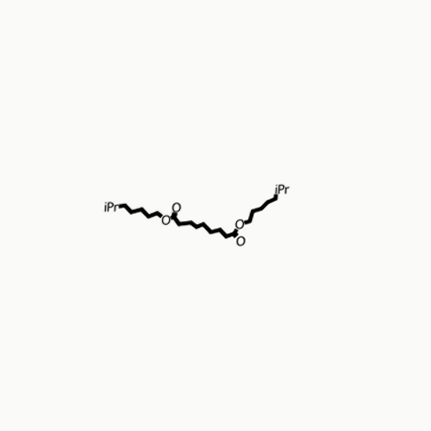 CC(C)CCCCCOC(=O)CCCCCCCC(=O)OCCCCCC(C)C